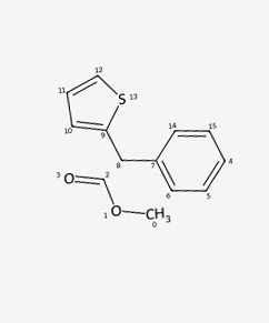 COC=O.c1ccc(Cc2cccs2)cc1